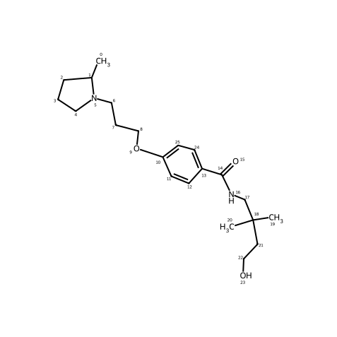 CC1CCCN1CCCOc1ccc(C(=O)NCC(C)(C)CCO)cc1